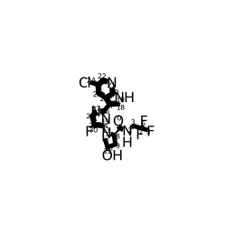 O=C(NCC(F)(F)F)[C@H]1C[C@H](O)CN1c1nc(-c2c[nH]c3ncc(Cl)cc23)ncc1F